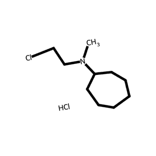 CN(CCCl)C1CCCCCC1.Cl